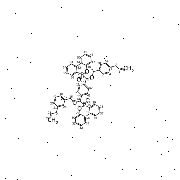 C=CCc1ccc(COC(c2ccc(C(OCc3cccc(CC=C)c3)P3(=O)Oc4ccccc4-c4ccccc43)cc2)P2(=O)Oc3ccccc3-c3ccccc32)cc1